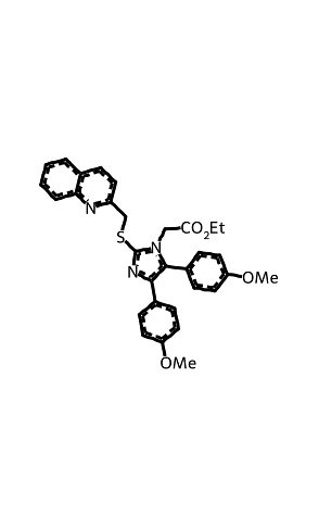 CCOC(=O)Cn1c(SCc2ccc3ccccc3n2)nc(-c2ccc(OC)cc2)c1-c1ccc(OC)cc1